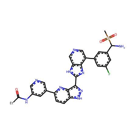 CCC(=O)Nc1cncc(-c2ccc3[nH]nc(-c4nc5c(-c6cc(F)cc(C(N)S(C)(=O)=O)c6)cncc5[nH]4)c3n2)c1